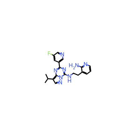 CC(C)c1cnn2c(NCCc3cccnc3N)nc(-c3cncc(F)c3)nc12